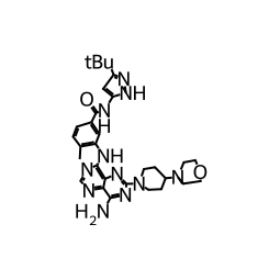 Cc1ccc(C(=O)Nc2cc(C(C)(C)C)n[nH]2)cc1Nc1ncnc2c(N)nc(N3CCC(N4CCOCC4)CC3)nc12